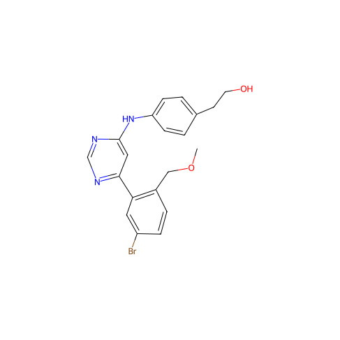 COCc1ccc(Br)cc1-c1cc(Nc2ccc(CCO)cc2)ncn1